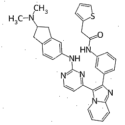 CN(C)C1Cc2ccc(Nc3nccc(-c4c(-c5cccc(NC(=O)Cc6cccs6)c5)nc5ccccn45)n3)cc2C1